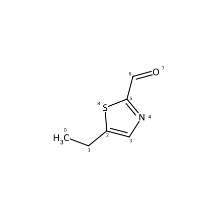 CCc1cnc(C=O)s1